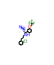 [N-]=[N+]=NC[C@H](NCCCc1ccccc1Cl)c1cccc(OCC(F)(F)F)c1